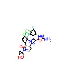 Nc1nnc(-c2nc(C3CCCCC3)n(-c3c(CC(=O)NC4(CO)CC4)ccc(Cl)c3F)c2-c2ccc(F)c(Cl)c2)o1